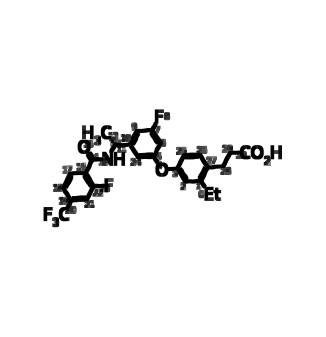 CCc1cc(Oc2cc(F)cc([C@@H](C)NC(=O)c3ccc(C(F)(F)F)cc3F)c2)ccc1CCC(=O)O